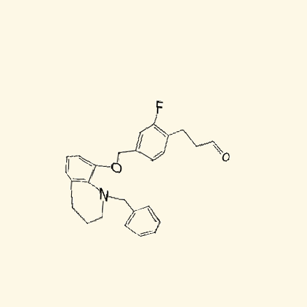 O=CCCc1ccc(COc2cccc3c2N(Cc2ccccc2)CCC3)cc1F